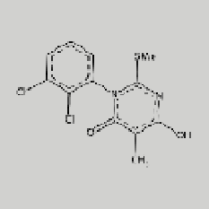 CSc1nc(O)c(C)c(=O)n1-c1cccc(Cl)c1Cl